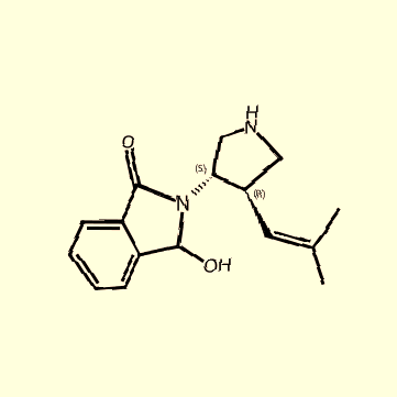 CC(C)=C[C@@H]1CNC[C@H]1N1C(=O)c2ccccc2C1O